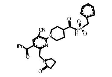 CC(C)C(=O)c1cc(C#N)c(N2CCC(C(=O)NS(=O)(=O)Cc3ccccc3)CC2)nc1CN1CCCC1=O